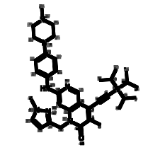 Cc1c(C#C[Si](C(C)C)(C(C)C)C(C)C)c2cnc(Nc3ccc(N4CCN(C)CC4)cc3)nc2n(Cc2ccn(C)n2)c1=O